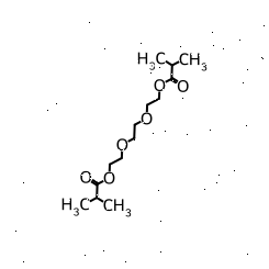 CC(C)C(=O)OCCOCCOCCOC(=O)C(C)C